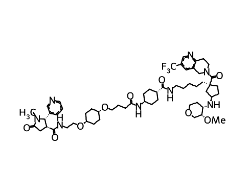 CO[C@@H]1COCC[C@@H]1N[C@@H]1CC[C@](CCCCCNC(=O)[C@H]2CC[C@H](NC(=O)CCCO[C@H]3CC[C@H](OCCNC(=O)[C@H]4CC(=O)N(C)[C@@H]4c4cccnc4)CC3)CC2)(C(=O)N2CCc3ncc(C(F)(F)F)cc3C2)C1